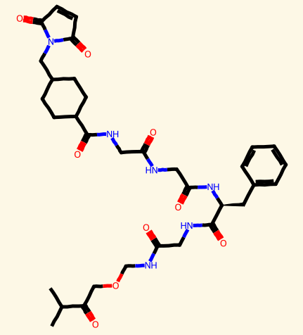 CC(C)C(=O)COCNC(=O)CNC(=O)[C@H](Cc1ccccc1)NC(=O)CNC(=O)CNC(=O)C1CCC(CN2C(=O)C=CC2=O)CC1